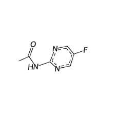 CC(=O)Nc1ncc(F)cn1